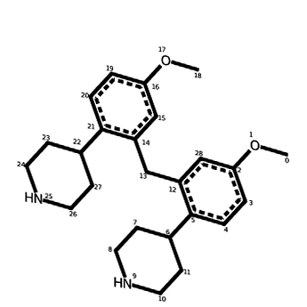 COc1ccc(C2CCNCC2)c(Cc2cc(OC)ccc2C2CCNCC2)c1